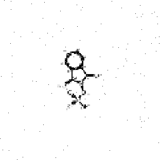 CC(C)S(=O)(=O)ON1C(=O)c2ccccc2C1=O